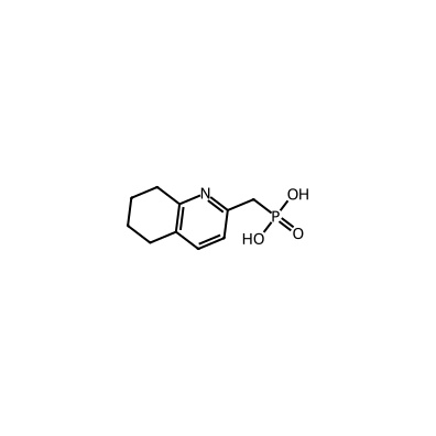 O=P(O)(O)Cc1ccc2c(n1)CCCC2